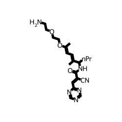 CCCC(NC(=O)/C(C#N)=C/c1ncncn1)/C(C)=C/C=C(\C)OCCOCCN